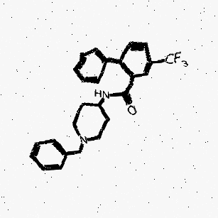 O=C(NC1CCN(Cc2ccccc2)CC1)c1cc(C(F)(F)F)ccc1-c1ccccc1